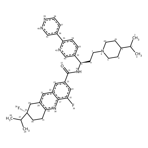 CC(C)C1CCN(CC[C@@H](NC(=O)c2cc(F)c3nc4c(cc3c2)C[C@](F)(C(C)C)CC4)c2ccc(-c3ccnnc3)nc2)CC1